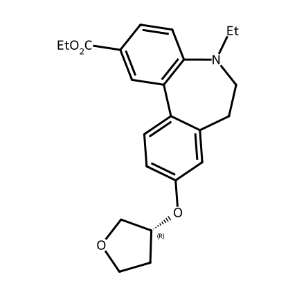 CCOC(=O)c1ccc2c(c1)-c1ccc(O[C@@H]3CCOC3)cc1CCN2CC